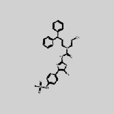 CS(=O)(=O)Nc1ccc(-c2nc(NC(=O)N(CCC#N)CCC(c3ccccc3)c3ccccc3)sc2Cl)cc1